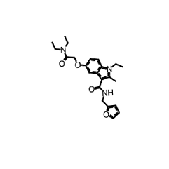 CCN(CC)C(=O)COc1ccc2c(c1)c(C(=O)NCc1ccco1)c(C)n2CC